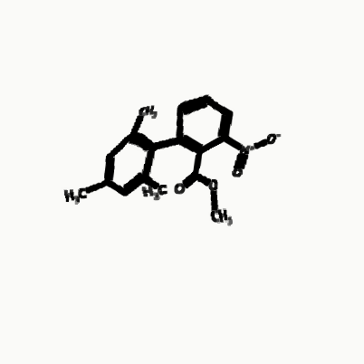 COC(=O)c1c(-c2c(C)cc(C)cc2C)cccc1[N+](=O)[O-]